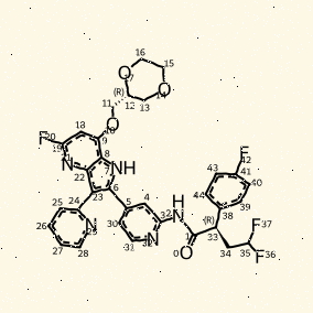 O=C(Nc1cc(-c2[nH]c3c(OC[C@H]4COCCO4)cc(F)nc3c2-c2ccccn2)ccn1)[C@H](CC(F)F)c1ccc(F)cc1